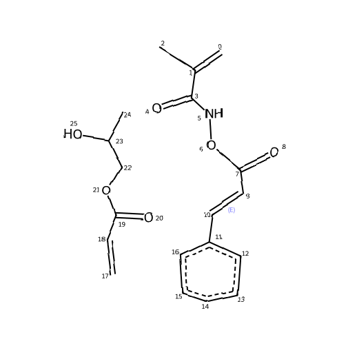 C=C(C)C(=O)NOC(=O)/C=C/c1ccccc1.C=CC(=O)OCC(C)O